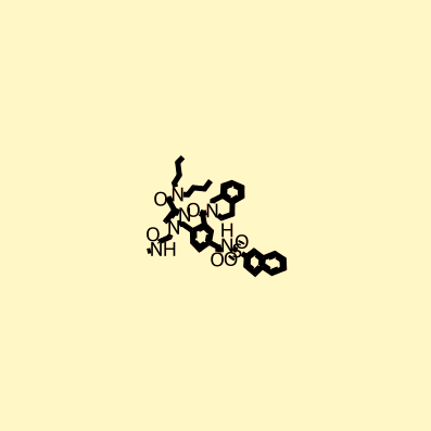 CCCCN(CCCC)C(=O)c1cn(CC(=O)NC)c(-c2ccc(C(=O)NS(=O)(=O)c3ccc4ccccc4c3)cc2C(=O)N2CCc3ccccc3C2)n1